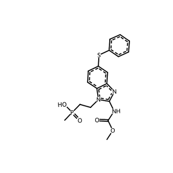 COC(=O)Nc1nc2cc(Sc3ccccc3)ccc2n1CCP(C)(=O)O